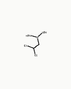 CCCCN(CCCC)C[C](CC)CC